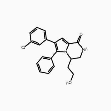 O=C1NCC(CCO)n2c1cc(-c1cccc(Cl)c1)c2-c1ccccc1